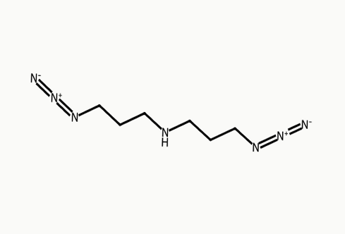 [N-]=[N+]=NCCCNCCCN=[N+]=[N-]